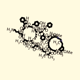 COc1cc2cc(c1Cl)N(C)C(=O)C[C@H](OC(=O)[C@H](C)N(C)C(=O)CCSSC(C)(C)[C@H](NC(=O)[C@@H]1CSSC[C@H](NC(=O)[C@@H](Cc3ccccc3)NC(=O)Nc3ccccc3)C(=O)N[C@@H](Cc3ccc(O)cc3)C(=O)N[C@H](Cc3c[nH]c4ccccc34)C(=O)NC(CCCCN)C(=O)N[C@@H]([C@@H](C)O)C(=O)N1)C(N)=O)[C@]1(C)OC1[C@H](C)[C@@H]1C[C@@](O)(NC(=O)O1)[C@H](OC)/C=C/C=C(\C)C2